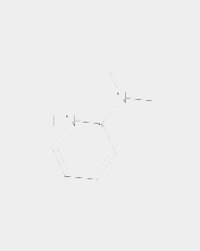 CN(C)[C]1C=CC=CN1